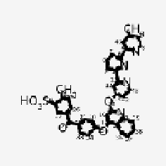 Cc1ccnc(-c2cccc(-c3cc(Oc4cc(Oc5ccc(C(=O)c6ccc(C)c(S(=O)(=O)O)c6)cc5)c5ccccc5n4)ccn3)n2)c1